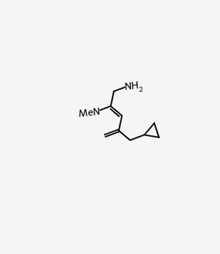 C=C(/C=C(/CN)NC)CC1CC1